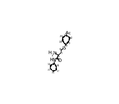 CC(=O)c1ccc(SCCC(N)C(=O)Nc2ccccc2)cc1